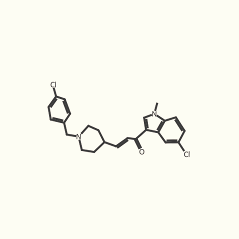 Cn1cc(C(=O)C=CC2CCN(Cc3ccc(Cl)cc3)CC2)c2cc(Cl)ccc21